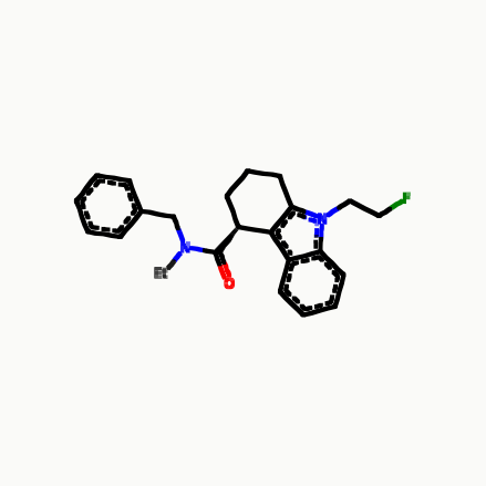 CCN(Cc1ccccc1)C(=O)[C@H]1CCCc2c1c1ccccc1n2CCF